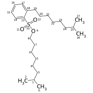 CC(C)CCCCCCOS(=O)(=O)c1ccccc1CCCCCCC(C)C